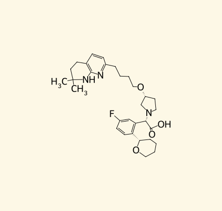 CC1(C)CCc2ccc(CCCCO[C@@H]3CCN([C@H](C(=O)O)c4cc(F)ccc4[C@@H]4CCCCO4)C3)nc2N1